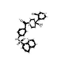 O=C(c1ccc(NS(=O)(=O)c2cccc3cccnc23)cc1)N1CCC(O)(c2ccncc2Cl)CC1